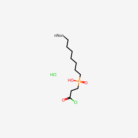 CCCCCCCCCCCCCCCCP(=O)(O)CCC(=O)Cl.Cl